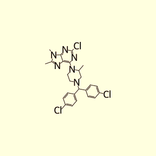 Cc1nc2c(N3CCN(C(c4ccc(Cl)cc4)c4ccc(Cl)cc4)CC3C)nc(Cl)nc2n1C